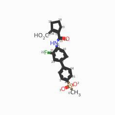 CS(=O)(=O)c1ccc(-c2ccc(NC(=O)C3=C(C(=O)O)CCC3)c(F)c2)cc1